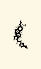 CCC[C@@]1(O)CC[C@@]2(C)[C@H](CC[C@@H]3[C@@H]2CC[C@]2(C)[C@@H]([C@H](C)Cn4cc(C#N)cn4)CC[C@@H]32)C1